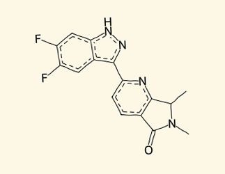 CC1c2nc(-c3n[nH]c4cc(F)c(F)cc34)ccc2C(=O)N1C